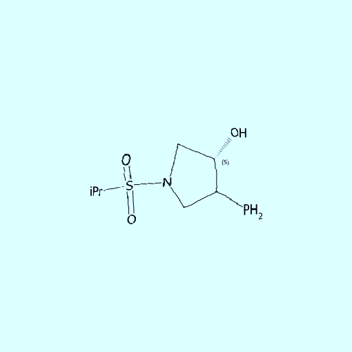 CC(C)S(=O)(=O)N1CC(P)[C@@H](O)C1